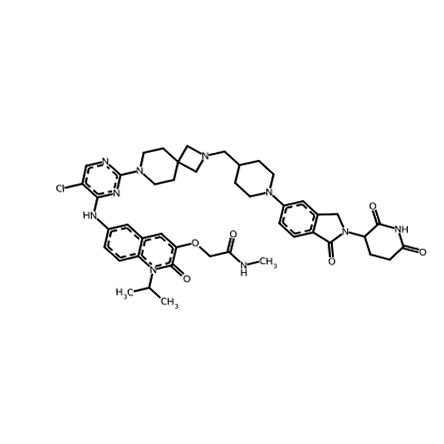 CNC(=O)COc1cc2cc(Nc3nc(N4CCC5(CC4)CN(CC4CCN(c6ccc7c(c6)CN(C6CCC(=O)NC6=O)C7=O)CC4)C5)ncc3Cl)ccc2n(C(C)C)c1=O